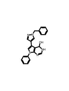 OC1NC=Nc2c1c(-c1cnn(Cc3ccccc3)c1)cn2-c1ccccc1